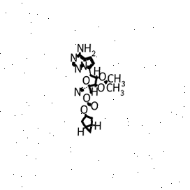 CC1(C)O[C@H]2[C@H](c3ccc4c(N)ncnn34)O[C@](C#N)(COC(=O)OC3C[C@@H]4C[C@@H]4C3)[C@H]2O1